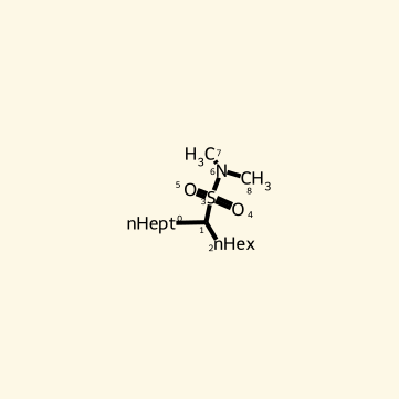 CCCCCCCC(CCCCCC)S(=O)(=O)N(C)C